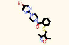 Cc1noc(C)c1CSc1ccccc1C(=O)N1CCN(c2ncc(Br)cn2)CC1